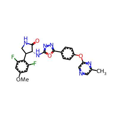 COc1cc(F)c(C2CNC(=O)[C@@H]2Nc2nnc(-c3ccc(Oc4cncc(C)n4)cc3)o2)c(F)c1